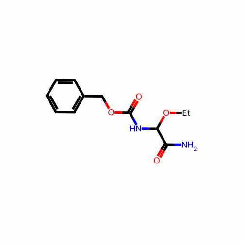 CCOC(NC(=O)OCc1ccccc1)C(N)=O